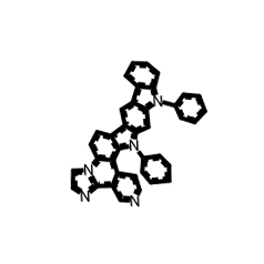 c1ccc(-n2c3ccccc3c3cc4c5ccc6c(c7ccncc7c7nccn67)c5n(-c5ccccc5)c4cc32)cc1